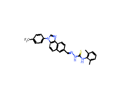 Cc1cccc(C)c1NC(=S)N/N=C/c1ccc2c(ccc3c2ncn3-c2ccc(C(F)(F)F)cc2)c1